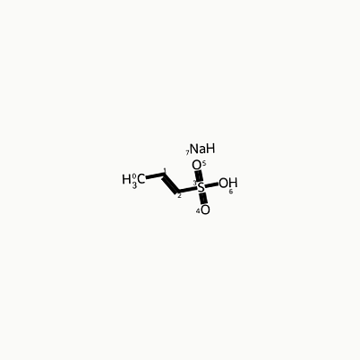 CC=CS(=O)(=O)O.[NaH]